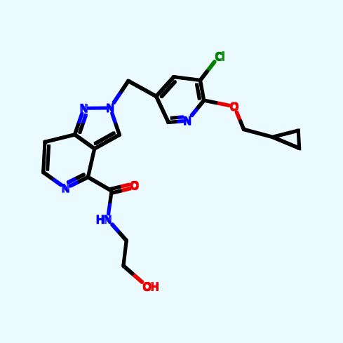 O=C(NCCO)c1nccc2nn(Cc3cnc(OCC4CC4)c(Cl)c3)cc12